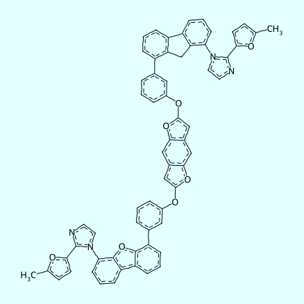 Cc1ccc(-c2nccn2-c2cccc3c2Cc2c(-c4cccc(Oc5cc6cc7oc(Oc8cccc(-c9cccc%10c9oc9c(-n%11ccnc%11-c%11ccc(C)o%11)cccc9%10)c8)cc7cc6o5)c4)cccc2-3)o1